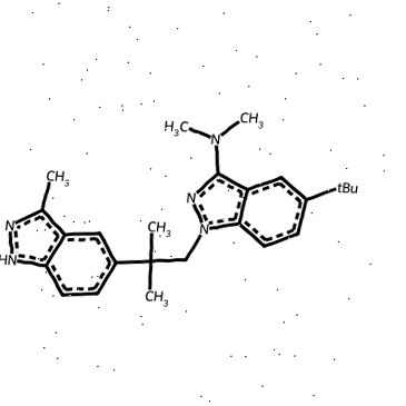 Cc1n[nH]c2ccc(C(C)(C)Cn3nc(N(C)C)c4cc(C(C)(C)C)ccc43)cc12